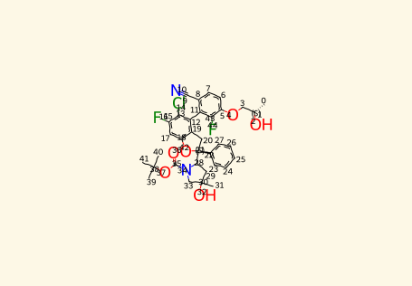 C[C@H](O)COc1ccc(C#N)c(-c2c(Cl)c(F)cc3c2C[C@](c2ccccc2)(C2CC(C)(O)CN2C(=O)OC(C)(C)C)O3)c1F